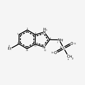 CCc1ccc2[nH]c(NS(C)(=O)=O)nc2c1